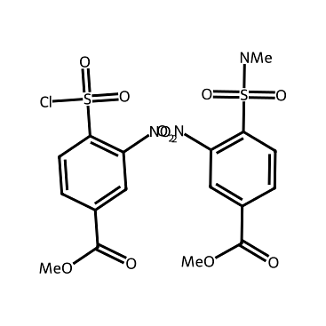 CNS(=O)(=O)c1ccc(C(=O)OC)cc1[N+](=O)[O-].COC(=O)c1ccc(S(=O)(=O)Cl)c([N+](=O)[O-])c1